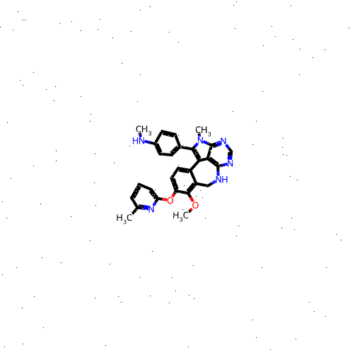 CNc1ccc(-c2c3c4c(ncnc4n2C)NCc2c-3ccc(Oc3cccc(C)n3)c2OC)cc1